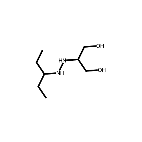 CCC(CC)NNC(CO)CO